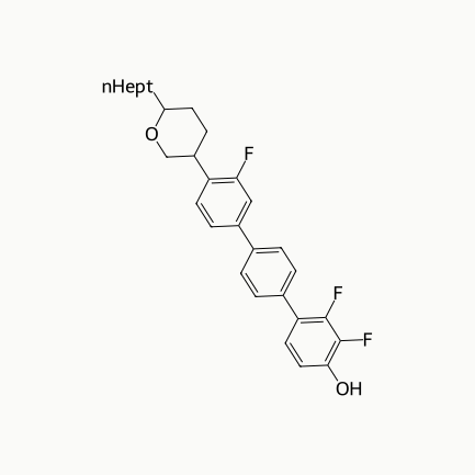 CCCCCCCC1CCC(c2ccc(-c3ccc(-c4ccc(O)c(F)c4F)cc3)cc2F)CO1